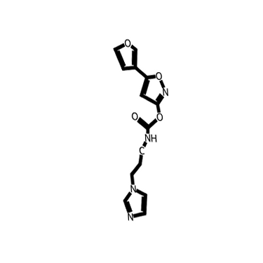 O=C(NCCCn1ccnc1)Oc1cc(-c2ccoc2)on1